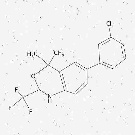 CC1(C)OC(C(F)(F)F)Nc2ccc(-c3cccc(Cl)c3)cc21